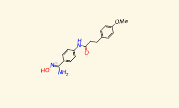 COc1ccc(CCC(=O)Nc2ccc(/C(N)=N/O)cc2)cc1